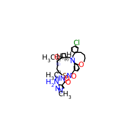 CO[C@H]1/C=C/C[C@H](C)CS(=O)(NC(=O)c2cn(C)nc2N)=NC(=O)c2ccc3c(c2)N(Cc2ccc(Cl)cc2CCCCO3)C[C@@H]2CC[C@H]21